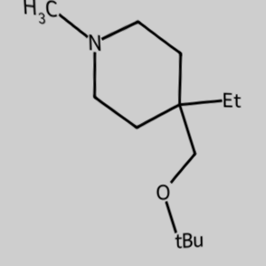 CCC1(COC(C)(C)C)CCN(C)CC1